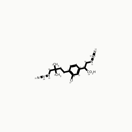 CC(C)(CCc1ccc(C(CN=[N+]=[N-])C(=O)O)cc1Cl)CN=[N+]=[N-]